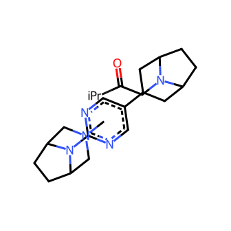 CC(C)C(=O)CN1C2CCC1CC(c1cnc(N3C4CCC3CN(C)C4)nc1)C2